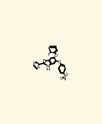 CS(=O)(=O)c1ccc(Oc2cc3[nH]c(-c4cnccn4)nc3cc2Oc2ccccc2F)cc1